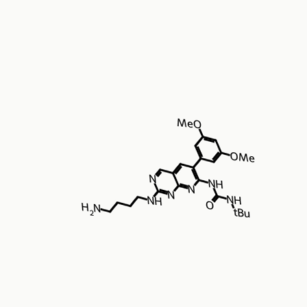 COc1cc(OC)cc(-c2cc3cnc(NCCCCN)nc3nc2NC(=O)NC(C)(C)C)c1